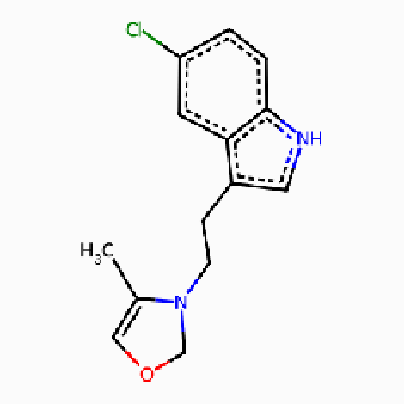 CC1=COCN1CCc1c[nH]c2ccc(Cl)cc12